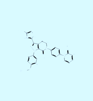 COc1ccc(-n2nc(-c3nc(C)co3)c3c2C(=O)N(c2ccc(-n4ccccc4=O)cc2)CC3)cc1